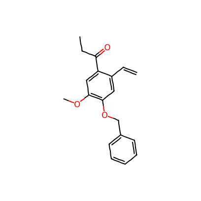 C=Cc1cc(OCc2ccccc2)c(OC)cc1C(=O)CC